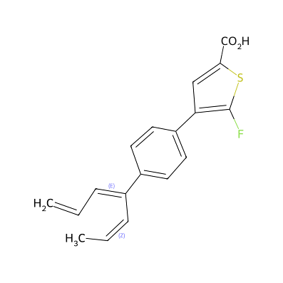 C=C/C=C(\C=C/C)c1ccc(-c2cc(C(=O)O)sc2F)cc1